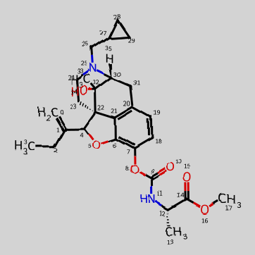 C=C(CC)C1Oc2c(OC(=O)N[C@@H](C)C(=O)OC)ccc3c2[C@@]12CCN(CC1CC1)[C@H](C3)C2(C)O